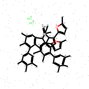 Cc1ccc(C2=Cc3c(cc(C)c(C)c3-c3cc(C)c(C)c(C)c3)[CH]2[Zr]([CH3])([CH3])(=[SiH2])[CH]2C(c3ccc(C)o3)=Cc3c2cc(C)c(C)c3-c2cc(C)c(C)c(C)c2)o1.Cl.Cl